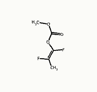 COC(=O)OC(F)=C(C)F